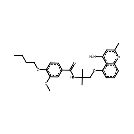 CCCCOc1ccc(C(=O)NC(C)(C)COc2cccc3nc(C)cc(N)c23)cc1OC